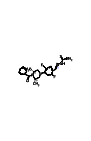 C[C@@H]1CN(c2cc(F)c(/C=N/NC(N)=S)cc2F)C[C@H](C)N1C(=O)c1ccccc1